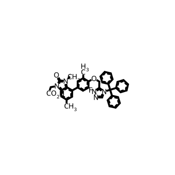 Cc1cc(-c2cc(C)c(OCc3nncn3C(c3ccccc3)(c3ccccc3)c3ccccc3)c(F)c2)c2c(c1)n(CC(=O)O)c(=O)n2C